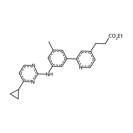 CCOC(=O)CCc1ccnc(-c2cc(C)cc(Nc3nccc(C4CC4)n3)c2)c1